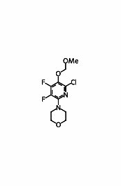 COCOc1c(Cl)nc(N2CCOCC2)c(F)c1F